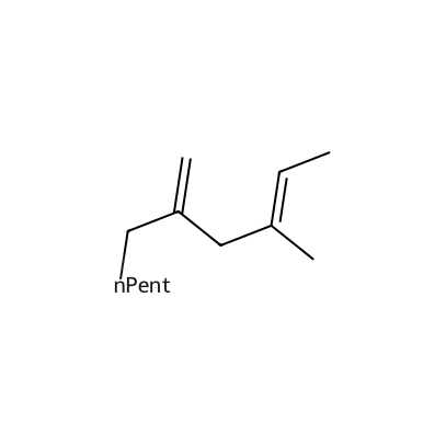 C=C(CCCCCC)CC(C)=CC